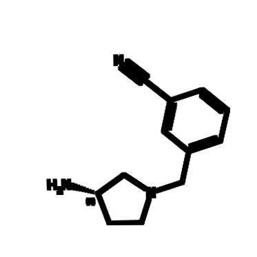 N#Cc1cccc(CN2CC[C@H](N)C2)c1